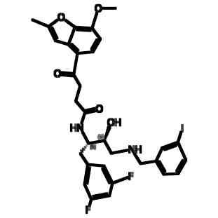 COc1ccc(C(=O)CCC(=O)N[C@@H](Cc2cc(F)cc(F)c2)[C@@H](O)CNCc2cccc(I)c2)c2cc(C)oc12